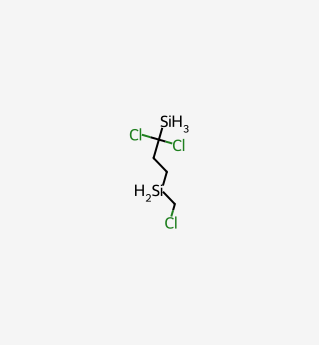 [SiH3]C(Cl)(Cl)CC[SiH2]CCl